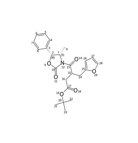 C[C@H]1[C@@H](c2ccccc2)OC(=O)N1C(=O)C(CC(=O)OC(C)(C)C)Cc1ccco1